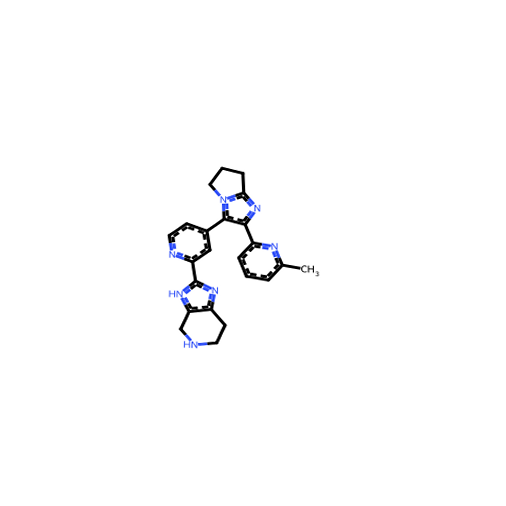 Cc1cccc(-c2nc3n(c2-c2ccnc(-c4nc5c([nH]4)CNCC5)c2)CCC3)n1